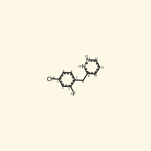 Fc1cc(Cl)ccc1Cc1cccnn1